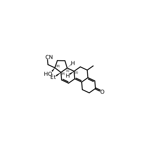 CC[C@]12C=CC3=C4CCC(=O)C=C4C(C)C[C@H]3[C@@H]1CC[C@@]2(O)CC#N